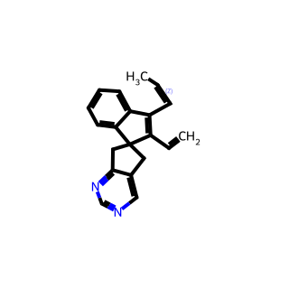 C=CC1=C(/C=C\C)c2ccccc2C12Cc1cncnc1C2